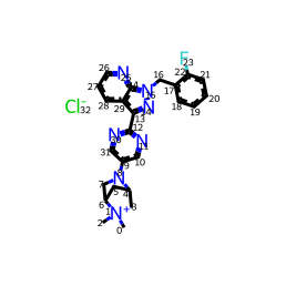 C[N+]1(C)CC2CC1CN2c1cnc(-c2nn(Cc3ccccc3F)c3ncccc23)nc1.[Cl-]